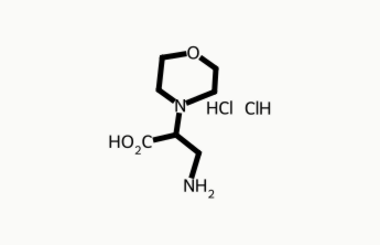 Cl.Cl.NCC(C(=O)O)N1CCOCC1